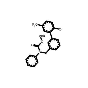 CCCCOC(=O)N(Cc1cccc(-c2cc(C(F)(F)F)ccc2[O])c1)c1ccccc1